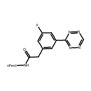 CCCCCNC(=O)Cc1cc(F)cc(-c2nncnn2)c1